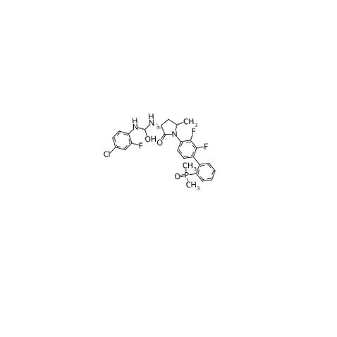 CC1C[C@@H](NC(O)Nc2ccc(Cl)cc2F)C(=O)N1c1ccc(-c2ccccc2P(C)(C)=O)c(F)c1F